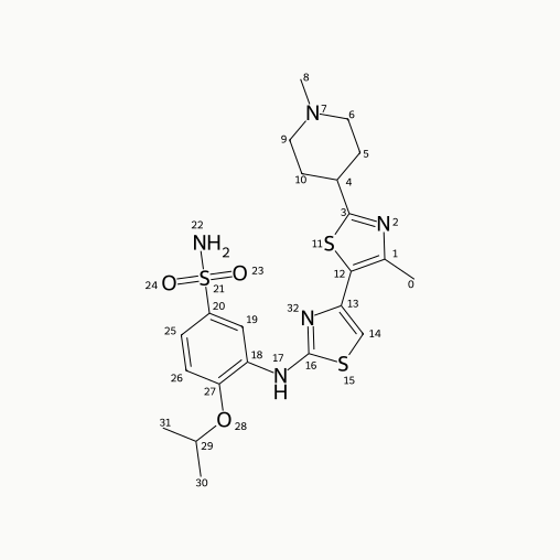 Cc1nc(C2CCN(C)CC2)sc1-c1csc(Nc2cc(S(N)(=O)=O)ccc2OC(C)C)n1